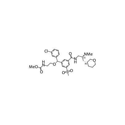 CN[C@H](CNC(=O)c1cc(C(OCCNC(=O)OC)c2cccc(Cl)c2)cc(S(C)(=O)=O)c1)C[C@H]1CCCOC1